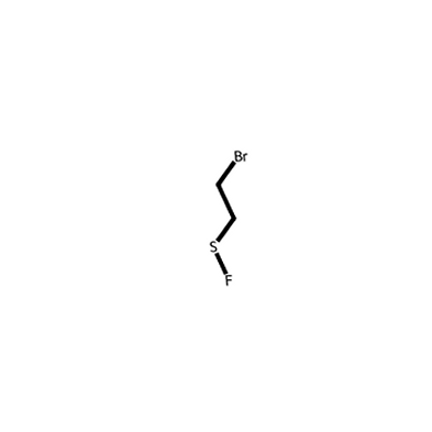 FSCCBr